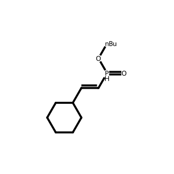 CCCCO[PH](=O)C=CC1CCCCC1